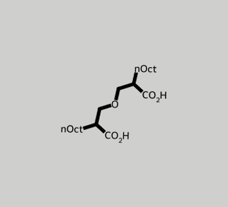 CCCCCCCCC(COCC(CCCCCCCC)C(=O)O)C(=O)O